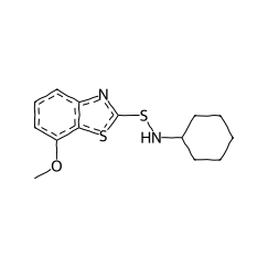 COc1cccc2nc(SNC3CCCCC3)sc12